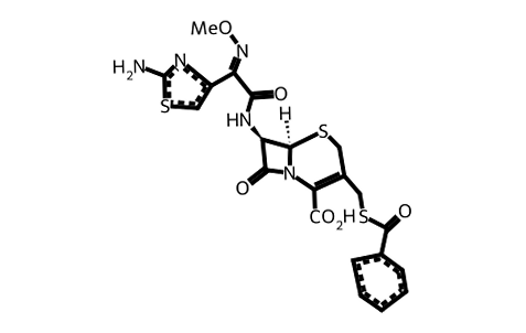 CO/N=C(/C(=O)N[C@@H]1C(=O)N2C(C(=O)O)=C(CSC(=O)c3ccccc3)CS[C@H]12)c1csc(N)n1